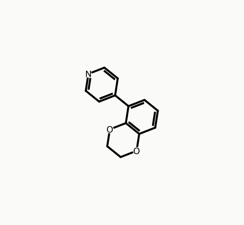 c1cc2c(c(-c3ccncc3)c1)OCCO2